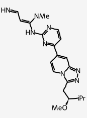 CN/C(=C\C=N)Nc1nccc(-c2ccn3c(C[C@H](OC)C(C)C)nnc3c2)n1